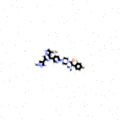 CN(C)C(C(=O)N1CCN(c2ccc(-c3nc(-c4cnn(C)c4)cn4ncc(C#N)c34)cn2)CC1)c1ccc(F)cc1F